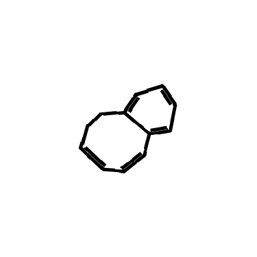 C1=C\CCc2ccccc2\C=C/1